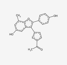 CC(=O)c1ccc(-c2c(-c3ccc(O)cc3)oc3c(C)cc(O)cc23)s1